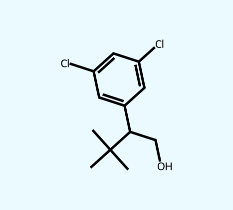 CC(C)(C)C(CO)c1cc(Cl)cc(Cl)c1